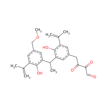 C=C(C)c1cc(COC)cc(C(C)c2cc(CC(=O)C(=O)C=O)cc(C(=C)C)c2O)c1O